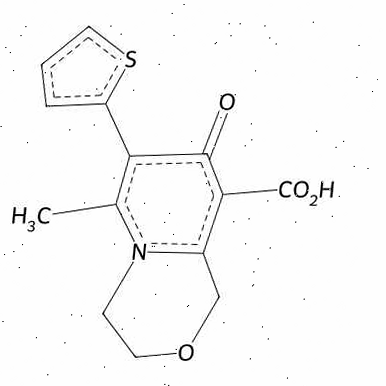 Cc1c(-c2cccs2)c(=O)c(C(=O)O)c2n1CCOC2